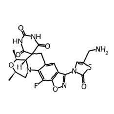 C[C@@H]1CN2c3c(cc4c(-n5cc(CN)sc5=O)noc4c3F)CC3(C(=O)NC(=O)NC3=O)[C@H]2[C@H](C)O1